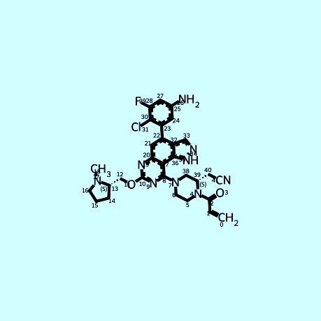 C=CC(=O)N1CCN(c2nc(OC[C@@H]3CCCN3C)nc3cc(-c4cc(N)cc(F)c4Cl)c4cn[nH]c4c23)C[C@@H]1CC#N